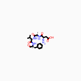 CC(C)[C@H](NC(=O)[C@H](C)NC(=O)[C@@H](N)CC(=O)O)C(=O)N[C@H]([C]=O)Cc1ccccc1